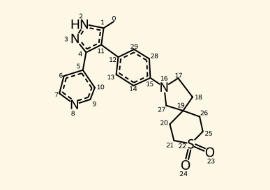 Cc1[nH]nc(-c2ccncc2)c1-c1ccc(N2CCC3(CCS(=O)(=O)CC3)C2)cc1